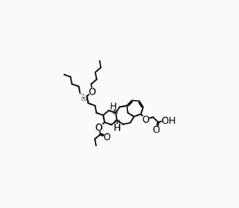 CCCCCO[C@@H](CCCCC)CCCC1C[C@H]2CC3=CC=CC(OCC(=O)O)C(CC[C@H]2CC1OC(=O)CC)C3